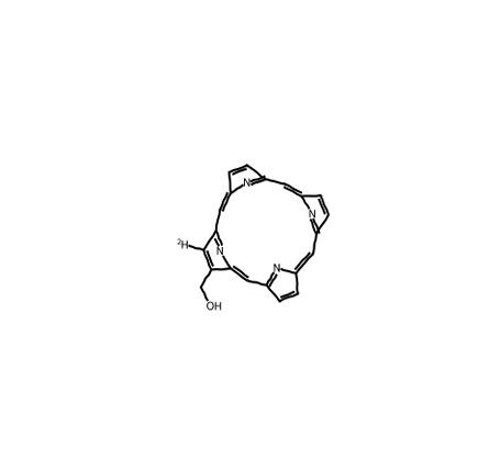 [2H]C1=C(CO)C2=CC3=NC(=CC4=NC(=CC5=NC(=CC1=N2)C=C5)C=C4)C=C3